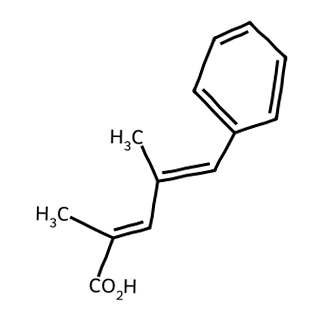 CC(=C\c1ccccc1)/C=C(\C)C(=O)O